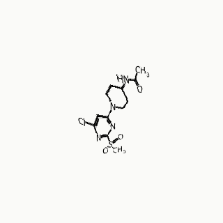 CC(=O)NC1CCN(c2cc(Cl)nc(S(C)(=O)=O)n2)CC1